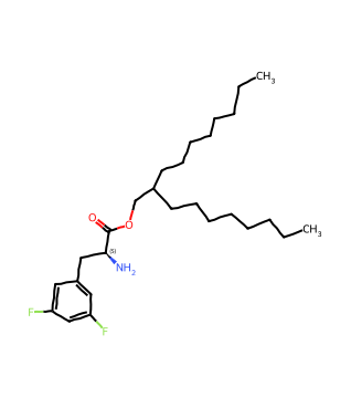 CCCCCCCCC(CCCCCCCC)COC(=O)[C@@H](N)Cc1cc(F)cc(F)c1